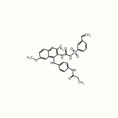 C=Cc1cccc(S(=O)(=O)NC(=O)Nc2c(C)nc3ccc(OC)cc3c2Nc2ccc(NC(=O)CC)cc2)c1